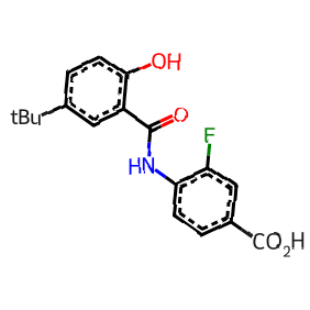 CC(C)(C)c1ccc(O)c(C(=O)Nc2ccc(C(=O)O)cc2F)c1